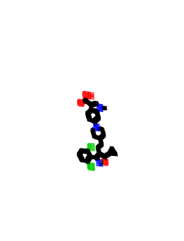 Cn1cc(C(=O)O)c2ccc(N3CCC(CCc4c(-c5c(Cl)cccc5Cl)noc4C4CC4)CC3)cc21